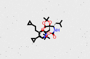 CC(C)C[C@H](NC(=O)OC(C)(C)C)[C@@]1(Cc2cc(CCC3CC3)c(C3CC3)cn2)OC(C)(C)OC1=O